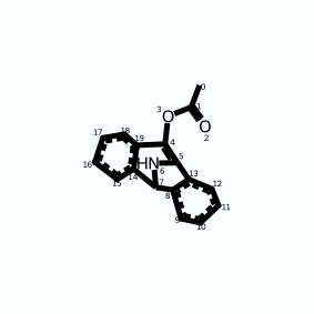 CC(=O)OC1=C2NC(c3ccccc32)c2ccccc21